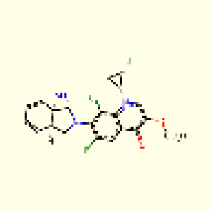 N[C@@]12C=CC=C[C@@H]1CN(c1c(F)cc3c(=O)c(OC(=O)O)cn([C@@H]4C[C@@H]4F)c3c1Cl)C2